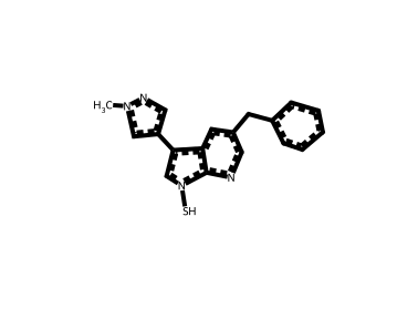 Cn1cc(-c2cn(S)c3ncc(Cc4ccccc4)cc23)cn1